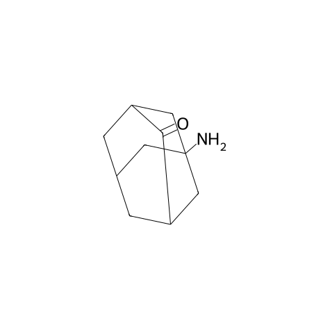 NC12CC3CC(C1)C(=O)C(C3)C2